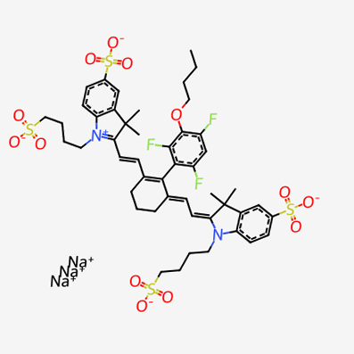 CCCCOc1c(F)cc(F)c(C2=C(C=CC3=[N+](CCCCS(=O)(=O)[O-])c4ccc(S(=O)(=O)[O-])cc4C3(C)C)CCCC2=C/C=C2/N(CCCCS(=O)(=O)[O-])c3ccc(S(=O)(=O)[O-])cc3C2(C)C)c1F.[Na+].[Na+].[Na+]